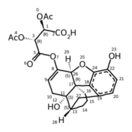 CC(=O)O[C@@H](C(=O)O)[C@@H](OC(C)=O)C(=O)OC1=CC[C@]2(O)[C@H]3CCC[C@]24c2c(ccc(O)c2O[C@H]14)C3